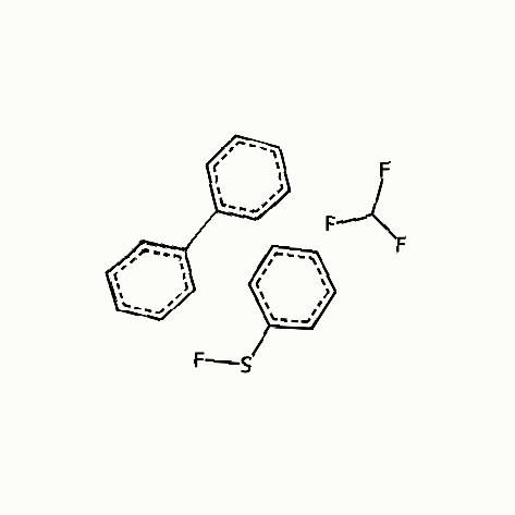 FC(F)F.FSc1ccccc1.c1ccc(-c2ccccc2)cc1